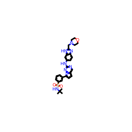 CC(C)(C)NS(=O)(=O)c1cccc(-c2ccc3cnc(Nc4ccc5nc(CN6CCOCC6)[nH]c5c4)nn23)c1